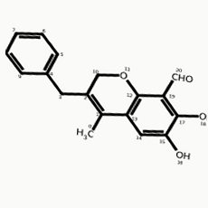 CC1=C(Cc2ccccc2)COc2c1cc(O)c(O)c2C=O